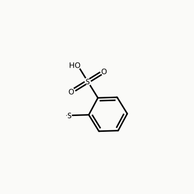 O=S(=O)(O)c1ccccc1[S]